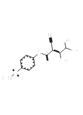 CC(C)/C(O)=C(\C#N)C(=S)Nc1ccc(S(N)(=O)=O)cc1